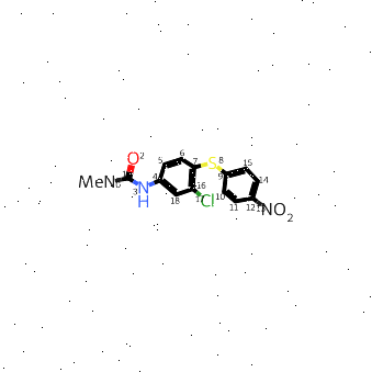 CNC(=O)Nc1ccc(Sc2ccc([N+](=O)[O-])cc2)c(Cl)c1